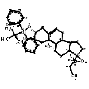 CC(C)(C)[Si](O[C@H]1CC[C@@]2(C)C(=CCC3C2CC[C@@]2(C)C3CC[C@]23OC3CO)C1)(c1ccccc1)c1ccccc1